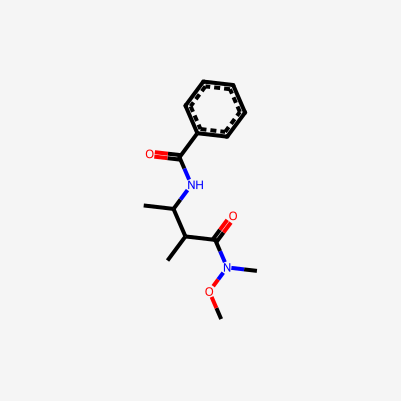 CON(C)C(=O)C(C)C(C)NC(=O)c1ccccc1